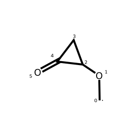 [CH2]OC1CC1=O